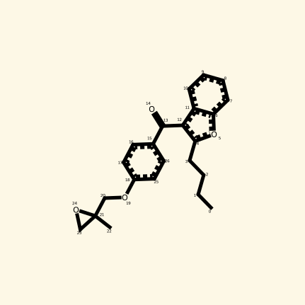 CCCCc1oc2ccccc2c1C(=O)c1ccc(OCC2(C)CO2)cc1